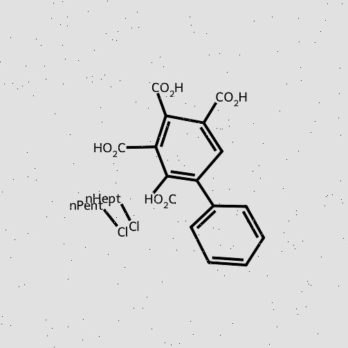 CCCCCCCCl.CCCCCCl.O=C(O)c1cc(-c2ccccc2)c(C(=O)O)c(C(=O)O)c1C(=O)O